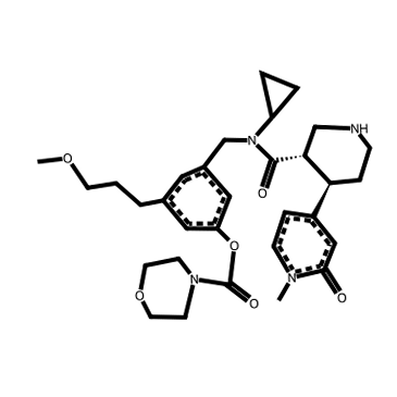 COCCCc1cc(CN(C(=O)[C@@H]2CNCC[C@H]2c2ccn(C)c(=O)c2)C2CC2)cc(OC(=O)N2CCOCC2)c1